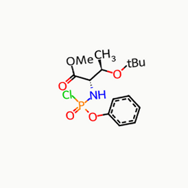 COC(=O)[C@@H](NP(=O)(Cl)Oc1ccccc1)[C@@H](C)OC(C)(C)C